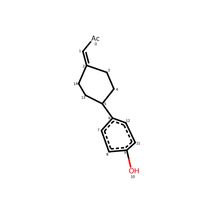 CC(=O)C=C1CCC(c2ccc(O)cc2)CC1